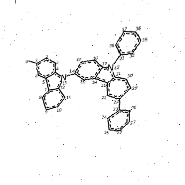 Cc1ccc2c(c1)c1ccccc1n2-c1ccc2c(c1)c1cc(-c3ccccc3)ccc1n2-c1ccccc1